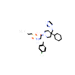 CCCS(=O)(=O)N[C@@H](Cc1ccc(Cl)cc1)C(=O)N1CCC(Cn2ccnc2)(C2CCCCC2)CC1